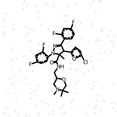 CN1CC(CNC(=O)C2(C)C(c3ccc(Cl)o3)C(c3ccc(F)cc3F)=NN2c2ccc(F)cc2F)OCC1(C)C